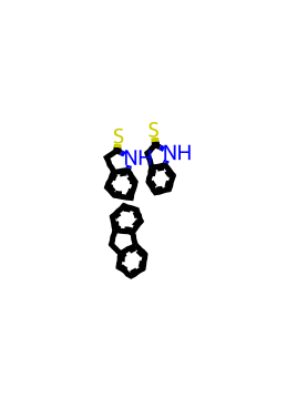 S=C1Cc2ccccc2N1.S=C1Cc2ccccc2N1.c1ccc2c(c1)Cc1ccccc1-2